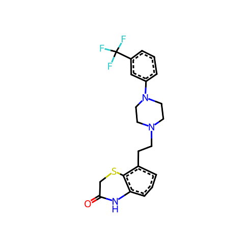 O=C1CSc2c(CCN3CCN(c4cccc(C(F)(F)F)c4)CC3)cccc2N1